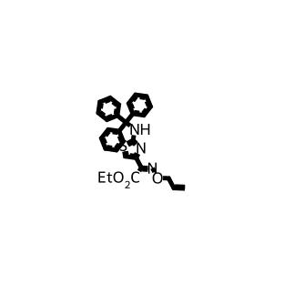 C=CCON=C(C(=O)OCC)c1csc(NC(c2ccccc2)(c2ccccc2)c2ccccc2)n1